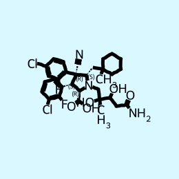 CC1(C[C@@H]2N(CC(C)(O)C(O)CC(N)=O)[C@@H](C(=O)O)[C@H](c3cccc(Cl)c3F)[C@@]2(C#N)c2ccc(Cl)cc2F)CCCCC1